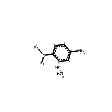 CCN(CC)c1ccc(N)cc1.Cl.Cl